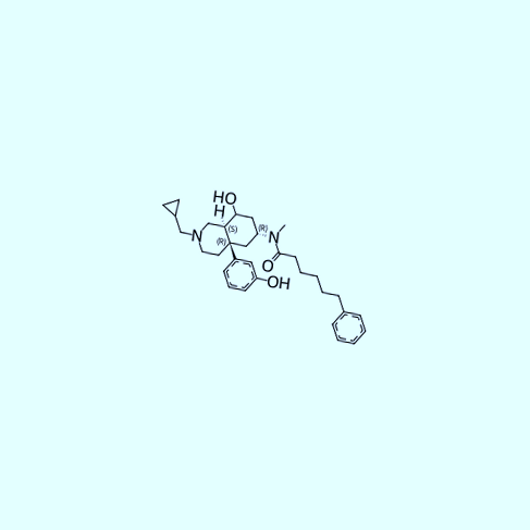 CN(C(=O)CCCCCc1ccccc1)[C@H]1CC(O)[C@@H]2CN(CC3CC3)CC[C@@]2(c2cccc(O)c2)C1